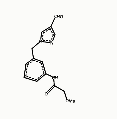 COCC(=O)Nc1cccc(Cn2cc(C=O)cn2)c1